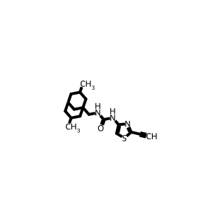 C#Cc1nc(NC(=O)NCC23CC(C)CC(CC(C)C2)C3)cs1